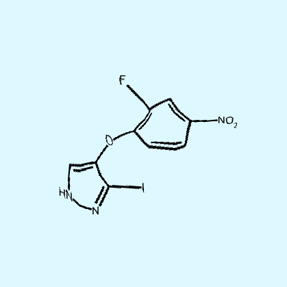 O=[N+]([O-])c1ccc(Oc2c[nH]nc2I)c(F)c1